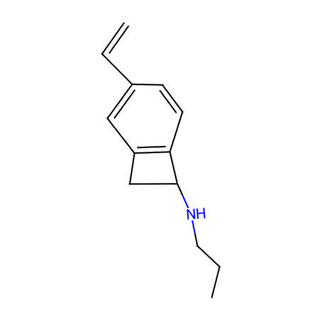 C=Cc1ccc2c(c1)CC2NCCC